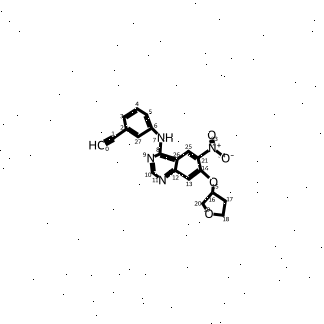 C#Cc1cccc(Nc2ncnc3cc(OC4CCOC4)c([N+](=O)[O-])cc23)c1